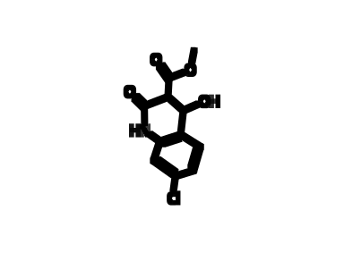 COC(=O)C1C(=O)Nc2cc(Cl)ccc2C1O